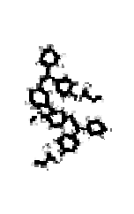 C=CC(=O)Oc1ccc(C(=Cc2ccc3c(c2)c2cc(C=C(c4ccccc4)c4ccc(OC(=O)C=C)cc4)ccc2n3C)c2ccccc2)cc1